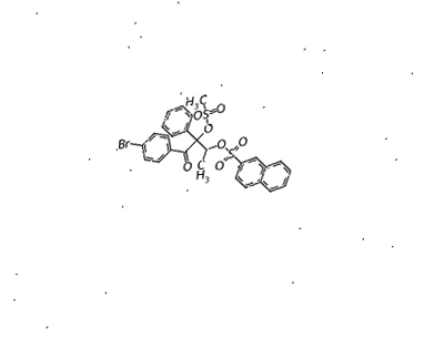 CC(OS(=O)(=O)c1ccc2ccccc2c1)C(OS(C)(=O)=O)(C(=O)c1ccc(Br)cc1)c1ccccc1